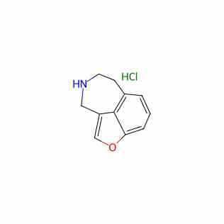 Cl.c1cc2c3c(coc3c1)CNCC2